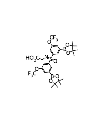 CC1(C)OB(c2cc(OC(F)(F)F)cc(S(=O)(=NCC(=O)O)c3cc(OC(F)(F)F)cc(B4OC(C)(C)C(C)(C)O4)c3)c2)OC1(C)C